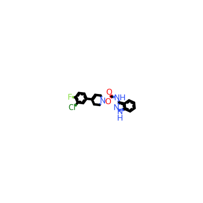 O=C(Nc1n[nH]c2ccccc12)ON1CC=C(c2ccc(F)c(Cl)c2)CC1